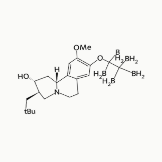 BC(B)(B)C(B)(B)Oc1cc2c(cc1OC)[C@H]1C[C@@H](O)[C@H](CC(C)(C)C)CN1CC2